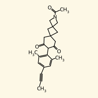 CC#Cc1cc(C)c(C2C(=O)CC3(CC2=O)CC2(CN(C(C)=O)C2)C3)c(C)c1